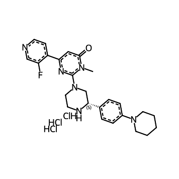 Cl.Cl.Cl.Cn1c(N2CCN[C@@H](c3ccc(N4CCCCC4)cc3)C2)nc(-c2ccncc2F)cc1=O